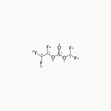 O=S(OC(F)F)OC(F)C(F)F